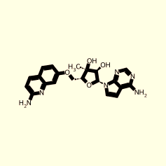 C[C@@]1(O)[C@@H](COc2ccc3ccc(N)nc3c2)O[C@@H](n2ccc3c(N)ncnc32)[C@@H]1O